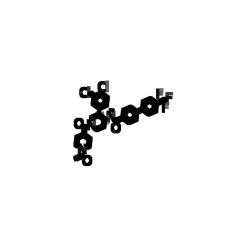 CC(=O)N1CCC(C(=O)N2CC[C@@H](N(C)C(=O)c3ccc(-c4ccc(C(F)(F)F)cc4)cc3)[C@H](c3ccc(Cl)c(Cl)c3)C2)CC1